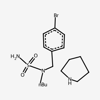 C1CCNCC1.CCCCN(Cc1ccc(Br)cc1)S(N)(=O)=O